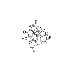 O=C1c2c(O)c(=O)ccn2N(C23c4cccc(F)c4CC2Cc2c(F)cccc23)CN1CC1CC1